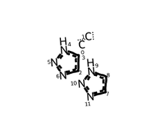 [C].[C].c1c[nH]nn1.c1c[nH]nn1